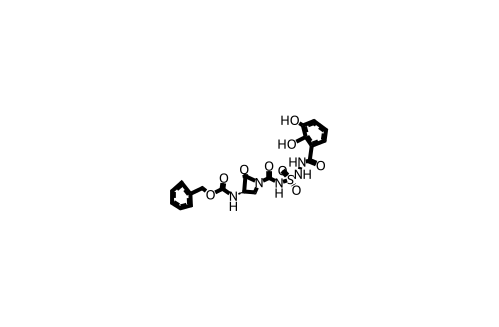 O=C(N[C@H]1CN(C(=O)NS(=O)(=O)NNC(=O)c2cccc(O)c2O)C1=O)OCc1ccccc1